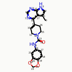 Cc1c[nH]c2ncnc(C3=CCN(C(=O)Nc4ccc5c(c4)OCO5)CC3)c12